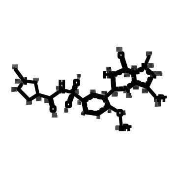 CCCOc1ccc(S(=O)(=O)NC(=O)C2CCN(C)C2)cc1-c1nc2c(CCC)nn(C)c2c(=O)[nH]1